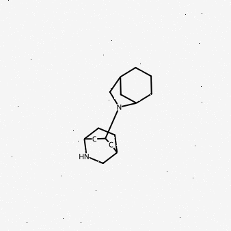 C1CC2CC(C1)N(C1CC3CCC(C1)NC3)C2